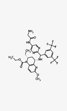 CCOC(=O)N1c2ccc(OC)nc2[C@@H](NC(c2cc(C(F)(F)F)cc(C(F)(F)F)c2)c2ncc(NC(=O)CN)cn2)C[C@H]1CC